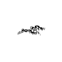 CC(C)(C)OC(=O)N1CCC(n2cc(NC(=O)c3cccc(-c4cn[nH]c4)n3)c(C(N)=O)n2)CC1